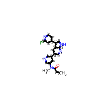 C=CC(=O)N(C)c1cncc(-c2cnc3[nH]cc(-c4ccnc(F)c4)c3c2)c1